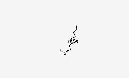 CCCCCCCCP.[SeH2]